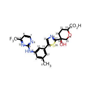 Cc1cc(Nc2nccc(C(F)(F)F)n2)cc(-c2cnc(C3(O)CCC(C(=O)O)OC3)s2)c1